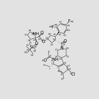 CC[C@H](NC(C)=O)c1cc(C)c(Cl)cc1C1CCN(C(=O)[C@@H]2CC(OC(=O)[C@]3(O[Si](C)(C)C(C)(C)C)CCCN3)C[C@H]2c2ccc(F)cc2F)CC1